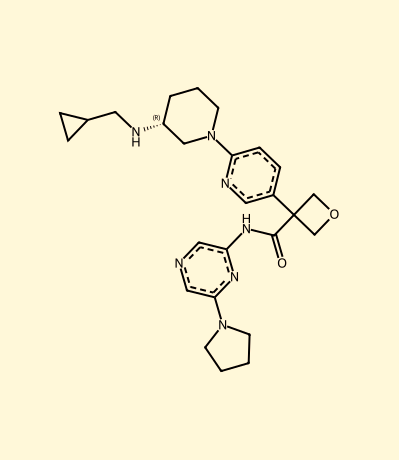 O=C(Nc1cncc(N2CCCC2)n1)C1(c2ccc(N3CCC[C@@H](NCC4CC4)C3)nc2)COC1